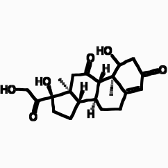 C[C@]12CC(=O)[C@H]3[C@@H](CCC4=CC(=O)CC(O)[C@@]43C)[C@@H]1CC[C@]2(O)C(=O)CO